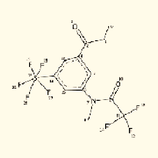 CCC(=O)c1cc(N(C)C(=O)C(F)(F)F)cc(S(F)(F)(F)(F)F)c1